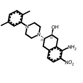 Cc1ccc(C)c(N2CCN([C@H]3Cc4ccc([N+](=O)[O-])c(N)c4C[C@@H]3O)CC2)c1